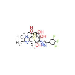 Cc1nc(C)c([C@@H]([SH]2C[C@H](O)[C@H](n3cc(-c4cc(F)c(F)c(F)c4)nn3)[C@@H](O)[C@H]2CO)C(C)(C)O)nc1C